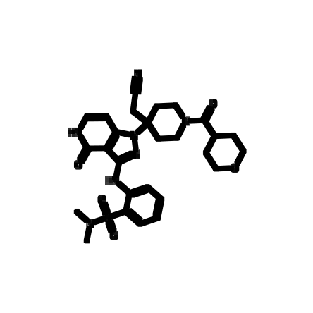 CN(C)S(=O)(=O)c1ccccc1Nc1nn(C2(CC#N)CCN(C(=O)C3CCOCC3)CC2)c2cc[nH]c(=O)c12